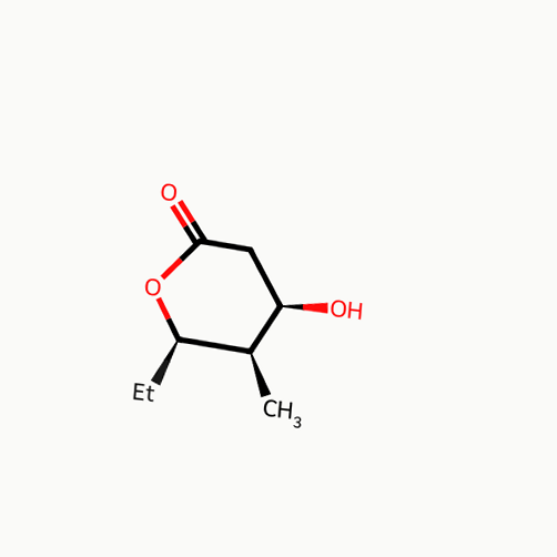 CC[C@H]1OC(=O)C[C@@H](O)[C@H]1C